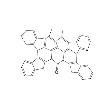 Cc1c2c3c4c5c6c7c(c(C)c15)-c1ccccc1C7C1=C(Cc5ccccc51)C6C(=O)C4C1=C(c4ccccc4C1)C3c1ccccc1-2